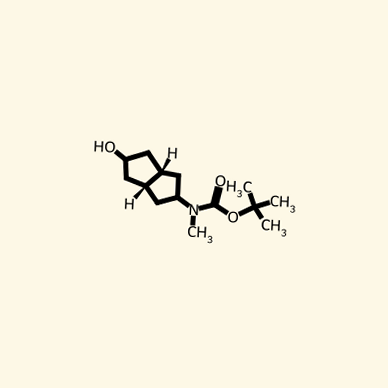 CN(C(=O)OC(C)(C)C)C1C[C@H]2CC(O)C[C@H]2C1